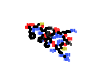 CC[C@H](C)[C@H](NC(=O)[C@@H]1CCCN1C(=O)[C@@H]1CCCN1C(=O)[C@@H](NC(=O)[C@H](CO)NC(=O)[C@H](CCCCN)NC(=O)[C@@H](NC(=O)[C@H](CS)NC(=O)[C@@H](N)CCCNC(=N)N)[C@@H](C)O)[C@@H](C)CC)C(=O)N[C@@H](CS)C(=O)N[C@@H](Cc1ccccc1)C(=O)O